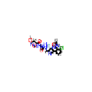 COC1=NOC(C(=O)NNC(=O)NCc2ncc(-c3cccc(Cl)c3-c3noc(C)n3)cc2F)C1